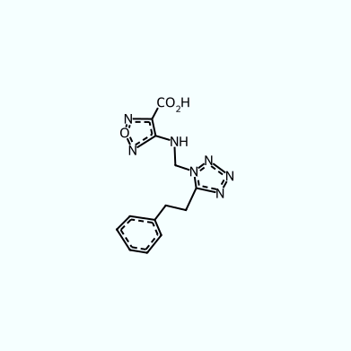 O=C(O)c1nonc1NCn1nnnc1CCc1ccccc1